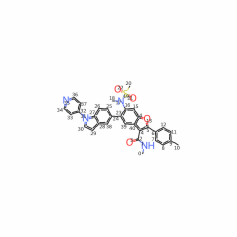 CNC(=O)c1c(-c2ccc(C)cc2)oc2cc(N(C)S(C)(=O)=O)c(-c3ccc4c(ccn4-c4ccncc4)c3)cc12